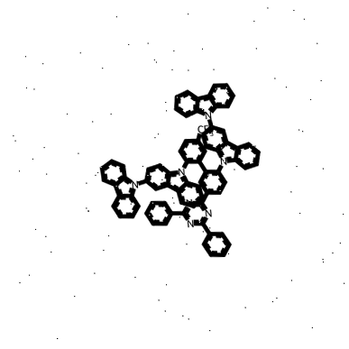 FC(F)(F)c1ccc(-n2c3ccccc3c3cc(-n4c5ccccc5c5ccccc54)ccc32)c(-c2cc(-c3nc(-c4ccccc4)nc(-c4ccccc4)n3)ccc2-n2c3ccccc3c3cc(-n4c5ccccc5c5ccccc54)ccc32)c1